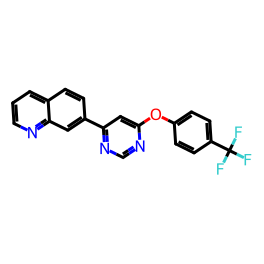 FC(F)(F)c1ccc(Oc2cc(-c3ccc4cccnc4c3)ncn2)cc1